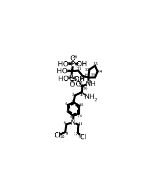 N[C@@H](Cc1ccc(N(CCCl)CCCl)cc1)C(=O)NC1(CCC(O)(P(=O)(O)O)P(=O)(O)O)CCCC1